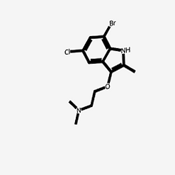 Cc1[nH]c2c(Br)cc(Cl)cc2c1OCCN(C)C